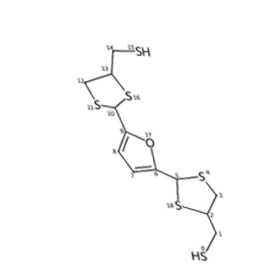 SCC1CSC(c2ccc(C3SCC(CS)S3)o2)S1